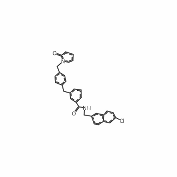 O=C(NCc1ccc2cc(Cl)ccc2c1)c1cccc(Cc2ccc(Cn3ccccc3=O)cc2)c1